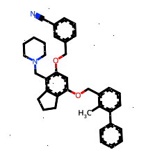 Cc1c(COc2cc(OCc3cccc(C#N)c3)c(CN3CCCCC3)c3c2CCC3)cccc1-c1ccccc1